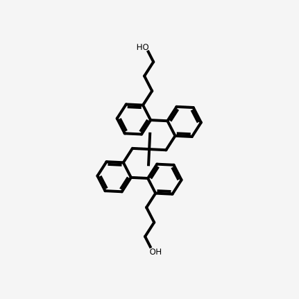 CC(C)(Cc1ccccc1-c1ccccc1CCCO)Cc1ccccc1-c1ccccc1CCCO